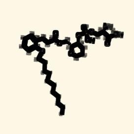 CCCCCCCCCCCOc1ccccc1CCC(=O)OC[C@H]1OCCC[C@@H]1OP(=O)(O)OC[C@H](N)C(=O)O